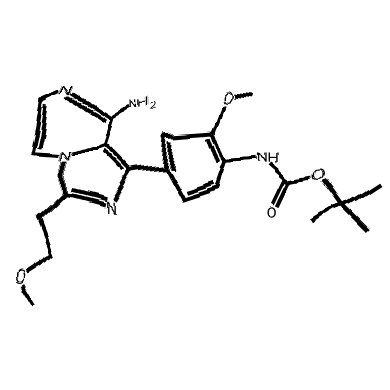 COCCc1nc(-c2ccc(NC(=O)OC(C)(C)C)c(OC)c2)c2c(N)nccn12